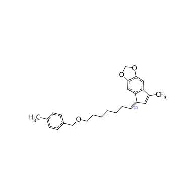 Cc1ccc(COCCCCCC/C=C2/C=C(C(F)(F)F)c3cc4c(cc32)OCO4)cc1